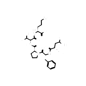 CC(C)C[C@H](N)C(=O)N[C@H](Cc1ccccc1)C(=O)N1CCC[C@H]1C(=O)N[C@H](C(=O)N[C@@H](CCCN)C(=O)O)C(C)C